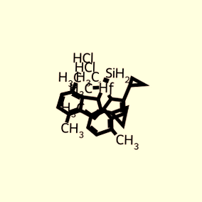 Cc1ccc(C)c2c1C=C(C1CC1)[CH]2[Hf]([CH3])([CH3])(=[SiH2])[CH]1C(C2CC2)=Cc2c(C)ccc(C)c21.Cl.Cl